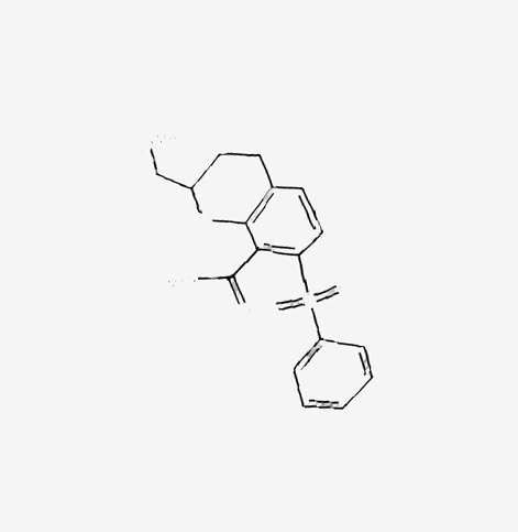 CNCC1CCc2ccc(S(=O)(=O)c3ccccc3)c(C(=O)NC)c2O1